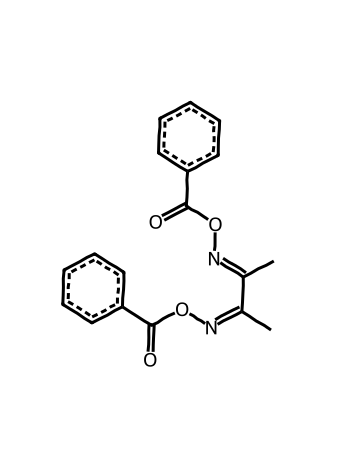 CC(=NOC(=O)c1ccccc1)C(C)=NOC(=O)c1ccccc1